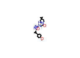 COc1ccc(C2C[C@H]2c2nnc(N[C@@H](C)C(=O)N3CCC4(CC3)CC4)o2)cc1